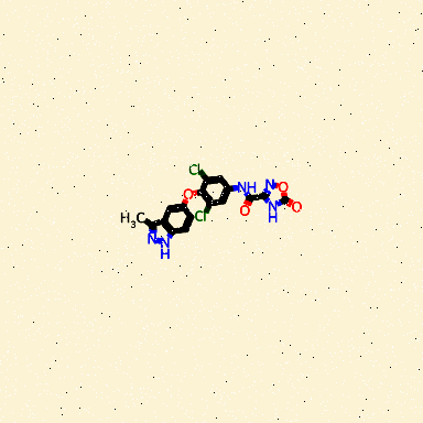 Cc1n[nH]c2ccc(Oc3c(Cl)cc(NC(=O)c4noc(=O)[nH]4)cc3Cl)cc12